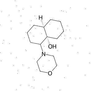 O[C@@]12CCCC[C@@H]1CCCC2N1CCOCC1